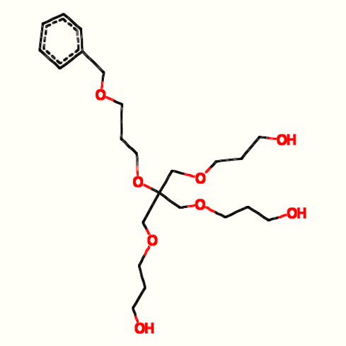 OCCCOCC(COCCCO)(COCCCO)OCCCOCc1ccccc1